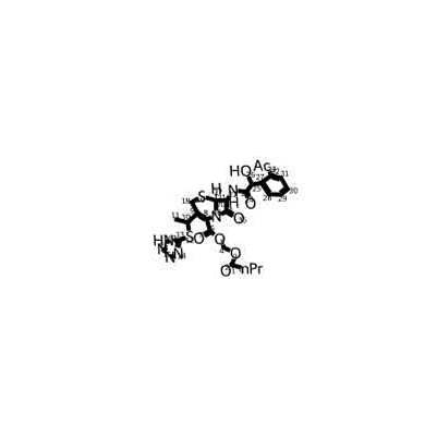 CCCC(=O)OCOC(=O)C1=C(C(C)Sc2nnn[nH]2)CS[C@H]2C(NC(=O)C(O)c3ccccc3C(C)=O)C(=O)N12